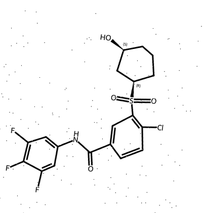 O=C(Nc1cc(F)c(F)c(F)c1)c1ccc(Cl)c(S(=O)(=O)[C@@H]2CCC[C@H](O)C2)c1